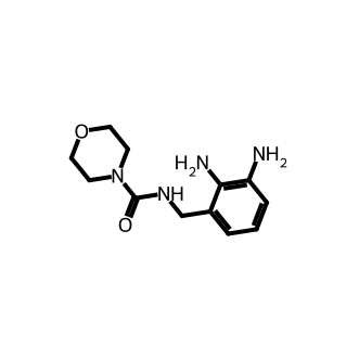 Nc1cccc(CNC(=O)N2CCOCC2)c1N